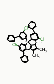 CC1=C(C)C(C)C([Si](c2cc(Cl)cc(-c3ccccc3)c2)(c2cc(Cl)cc(-c3ccccc3)c2)c2cc(Cl)cc(-c3ccccc3)c2)=C1C